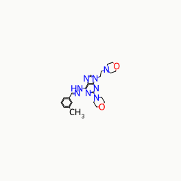 Cc1cccc(C=NNc2nc(N3CCOCC3)nc3c2ncn3CCN2CCOCC2)c1